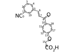 N#Cc1cccc(C=CC(=O)c2ccc(OCC(=O)O)cc2)c1